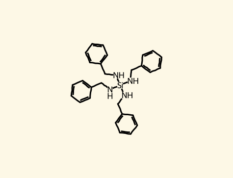 c1ccc(CN[Si](NCc2ccccc2)(NCc2ccccc2)NCc2ccccc2)cc1